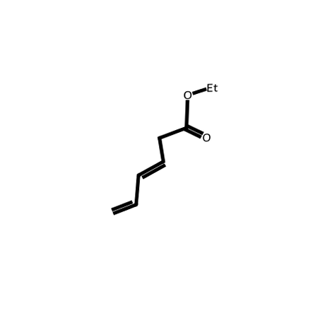 C=C/C=C/CC(=O)OCC